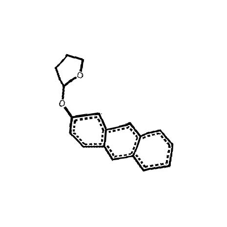 [c]1c(OC2CCCO2)ccc2cc3ccccc3cc12